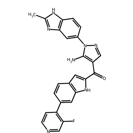 Cc1nc2cc(-n3ncc(C(=O)c4cc5ccc(-c6ccncc6F)cc5[nH]4)c3N)ccc2[nH]1